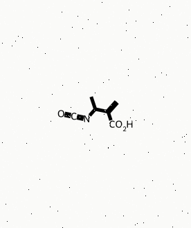 C=C(C(=O)O)C(C)N=C=O